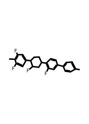 Cc1ccc(-c2ccc(C3CCC(c4cc(F)c(C)c(F)c4)C(F)C3)c(F)c2)cc1